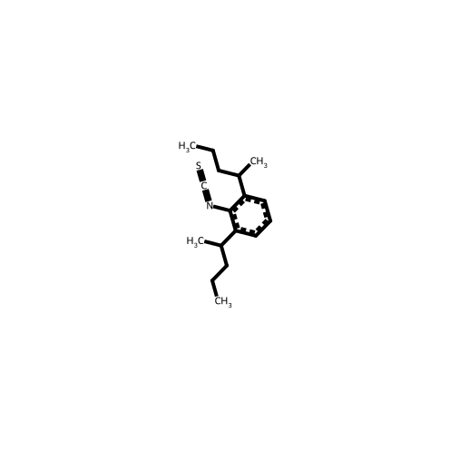 CCCC(C)c1cccc(C(C)CCC)c1N=C=S